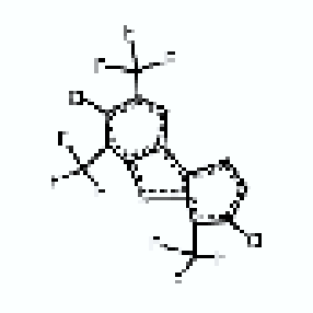 FC(F)(F)c1cc2c(sc3c(C(F)(F)F)c(Cl)ccc32)c(C(F)(F)F)c1Cl